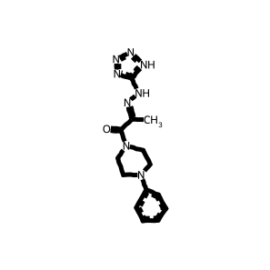 C/C(=N\Nc1nnn[nH]1)C(=O)N1CCN(c2ccccc2)CC1